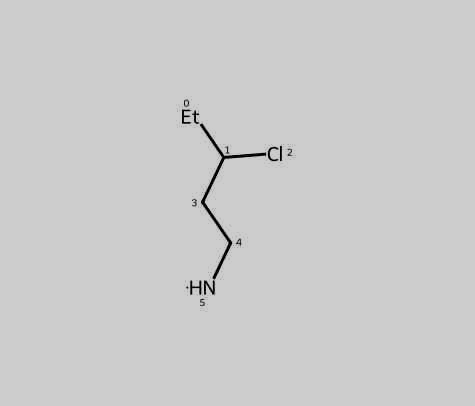 CCC(Cl)CC[NH]